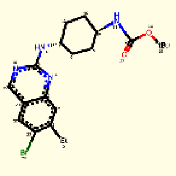 CCc1cc2nc(N[C@H]3CC[C@H](NC(=O)OC(C)(C)C)CC3)ncc2cc1Br